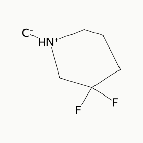 [CH2-][NH+]1CCCC(F)(F)C1